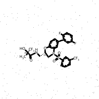 C[C@@](O)(C(=O)NC[C@H]1CN(S(=O)(=O)c2cccc(C(F)(F)F)c2)c2cc(-c3cc(F)ccc3F)ccc2O1)C(F)(F)F